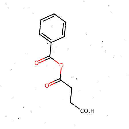 O=C(O)CCC(=O)OC(=O)c1ccccc1